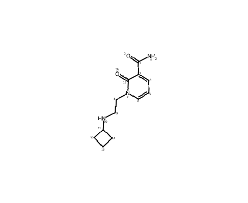 NC(=O)c1cccn(CCNC2CCC2)c1=O